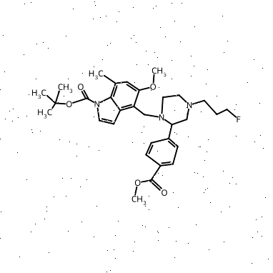 COC(=O)c1ccc(C2CN(CCCF)CCN2Cc2c(OC)cc(C)c3c2ccn3C(=O)OC(C)(C)C)cc1